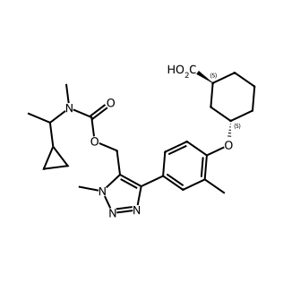 Cc1cc(-c2nnn(C)c2COC(=O)N(C)C(C)C2CC2)ccc1O[C@H]1CCC[C@H](C(=O)O)C1